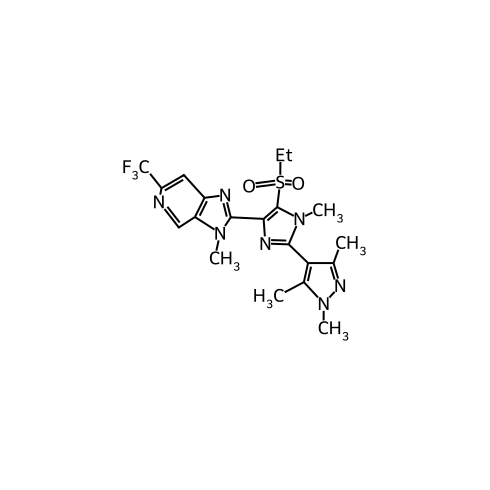 CCS(=O)(=O)c1c(-c2nc3cc(C(F)(F)F)ncc3n2C)nc(-c2c(C)nn(C)c2C)n1C